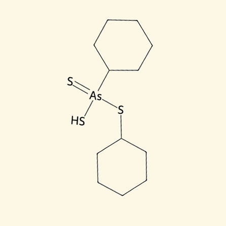 S=[As](S)(SC1CCCCC1)C1CCCCC1